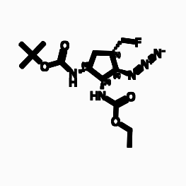 CCOC(=O)N[C@H]1[C@H](N=[N+]=[N-])[C@@H](CF)C[C@H]1NC(=O)OC(C)(C)C